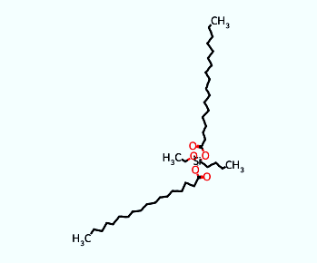 CCCCCCCCCCCCCCCCCC(=O)O[Si](CCCC)(OCC)OC(=O)CCCCCCCCCCCCCCCCC